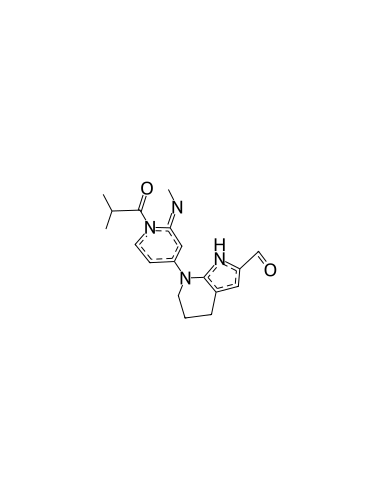 C/N=c1/cc(N2CCCc3cc(C=O)[nH]c32)ccn1C(=O)C(C)C